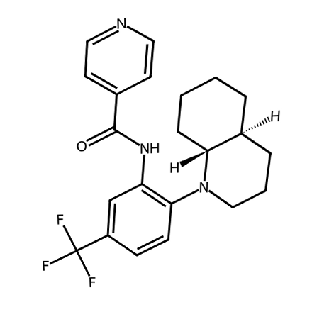 O=C(Nc1cc(C(F)(F)F)ccc1N1CCC[C@@H]2CCCC[C@H]21)c1ccncc1